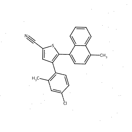 Cc1cc(Cl)ccc1-c1cc(C#N)sc1-c1ccc(C)c2ccccc12